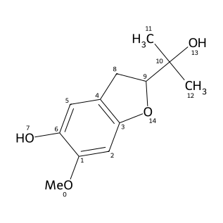 COc1cc2c(cc1O)CC(C(C)(C)O)O2